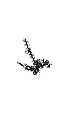 CC#CCOc1ccc(C[C@H](NC(=O)[C@@H](/C=C/CCCCCCC(=O)CCCCCCC)[C@@](O)(CC(=O)OCC(=O)N(C)C)C(=O)O)C(=O)OC)cc1